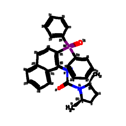 C[C@@H]1CC[C@@H](C)N1C(=O)Nc1c(P(=O)(c2ccccc2)c2ccccc2)ccc2ccccc12